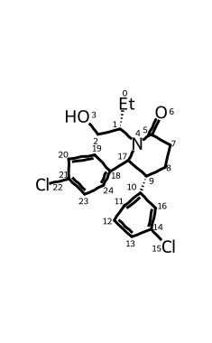 CC[C@@H](CO)N1C(=O)CC[C@H](c2cccc(Cl)c2)C1c1ccc(Cl)cc1